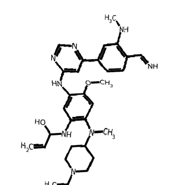 C=CC(O)Nc1cc(Nc2cc(-c3ccc(C=N)c(NC)c3)ncn2)c(OC)cc1N(C)C1CCN(CC)CC1